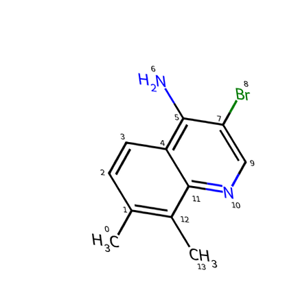 Cc1ccc2c(N)c(Br)cnc2c1C